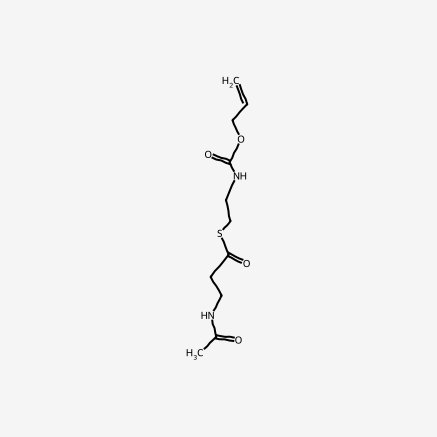 C=CCOC(=O)NCCSC(=O)CCNC(C)=O